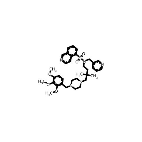 COc1ccc(CN2CCN(CC(C)(C)CCN(Cc3cccnc3)S(=O)(=O)c3cccc4cnccc34)CC2)c(OC)c1OC